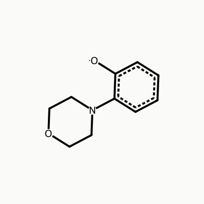 [O]c1ccccc1N1CCOCC1